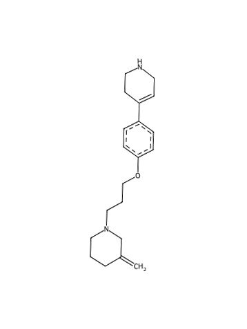 C=C1CCCN(CCCOc2ccc(C3=CCNCC3)cc2)C1